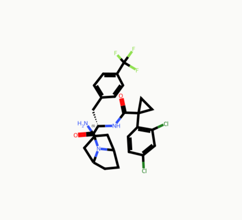 NC1CC2CCC(C1)N2C(=O)[C@H](Cc1ccc(C(F)(F)F)cc1)NC(=O)C1(c2ccc(Cl)cc2Cl)CC1